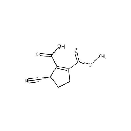 COC(=O)C1=C(C(=O)O)C(C#N)CC1